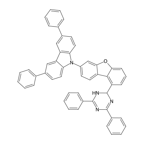 c1ccc(C2=NC(c3cccc4oc5cc(-n6c7ccc(-c8ccccc8)cc7c7cc(-c8ccccc8)ccc76)ccc5c34)NC(c3ccccc3)=N2)cc1